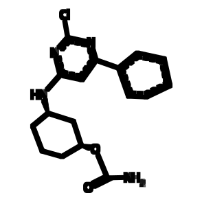 NC(=O)O[C@H]1CCC[C@@H](Nc2cc(-c3ccccc3)nc(Cl)n2)C1